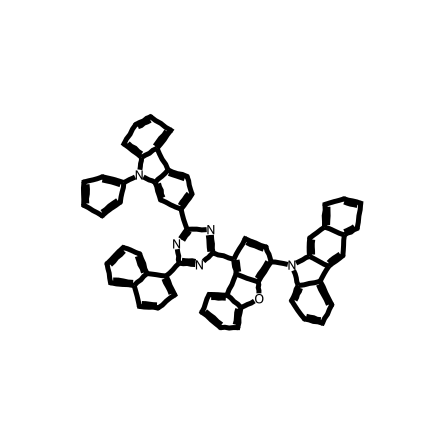 c1ccc(-n2c3ccccc3c3ccc(-c4nc(-c5cccc6ccccc56)nc(-c5ccc(-n6c7ccccc7c7cc8ccccc8cc76)c6oc7ccccc7c56)n4)cc32)cc1